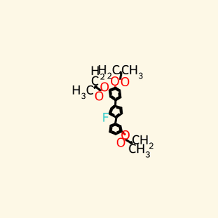 C=C(C)C(=O)Oc1cccc(-c2ccc(-c3ccc(OC(=O)C(=C)C)c(OC(=O)C(=C)C)c3)cc2F)c1